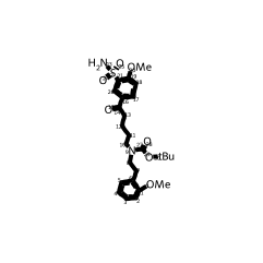 COc1ccccc1CCN(CCCCC(=O)c1ccc(OC)c(S(N)(=O)=O)c1)C(=O)OC(C)(C)C